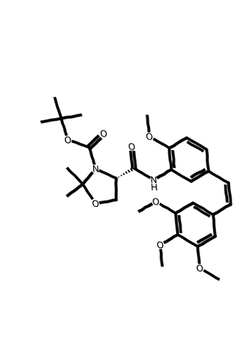 COc1ccc(/C=C\c2cc(OC)c(OC)c(OC)c2)cc1NC(=O)[C@@H]1COC(C)(C)N1C(=O)OC(C)(C)C